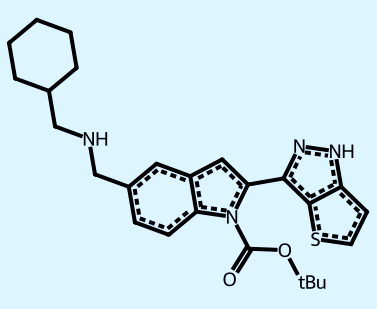 CC(C)(C)OC(=O)n1c(-c2n[nH]c3ccsc23)cc2cc(CNCC3CCCCC3)ccc21